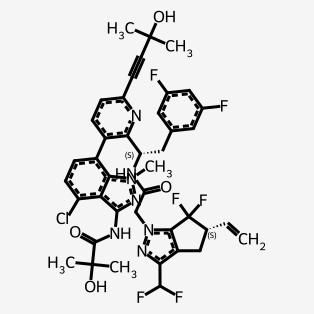 C=C[C@@H]1Cc2c(C(F)F)nn(CC(=O)N[C@@H](Cc3cc(F)cc(F)c3)c3nc(C#CC(C)(C)O)ccc3-c3ccc(Cl)c4c(NC(=O)C(C)(C)O)nn(C)c34)c2C1(F)F